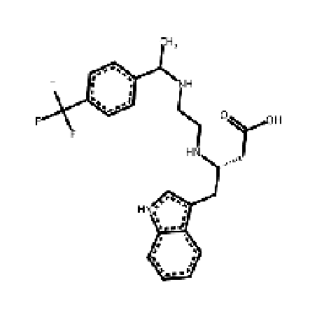 CC(NCCN[C@H](CC(=O)O)Cc1c[nH]c2ccccc12)c1ccc(C(F)(F)F)cc1